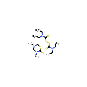 CCN(CC)C(=S)SSC(=S)N(CC)CC.CN1CSC(=S)N(C)C1